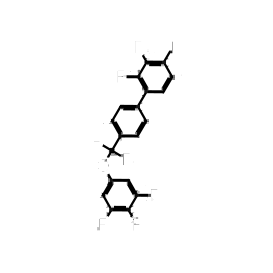 Fc1cc(OC(F)(F)c2ccc(-c3ccc(I)c(F)c3F)cc2)cc(F)c1F